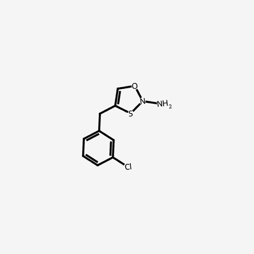 NN1OC=C(Cc2cccc(Cl)c2)S1